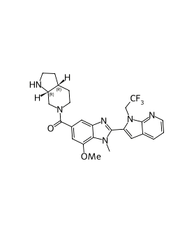 COc1cc(C(=O)N2CC[C@H]3CCN[C@H]3C2)cc2nc(-c3cc4cccnc4n3CC(F)(F)F)n(C)c12